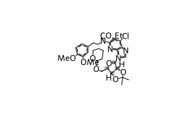 CCOC(=O)N(CCc1ccc(OC)c(OC)c1)c1cc(Cl)c2ncn([C@@H]3O[C@H](COC4CCCCO4)[C@H]4OC(C)(C)O[C@H]43)c2n1